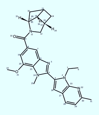 CCn1c(-c2nc3cc(C(=O)N4C[C@H]5CC6C[C@@H]4[C@H]65)cc(OC)c3n2C)cc2ccc(C)nc21